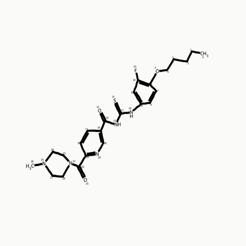 CCCCCOc1ccc(NC(=S)NC(=O)c2ccc(C(=O)N3CCN(C)CC3)nc2)cc1F